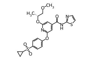 COC[C@@H](C)Oc1cc(C(=O)Nc2nccs2)cc(Oc2ccc(S(=O)(=O)C3CC3)cc2)n1